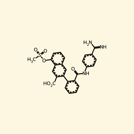 CS(=O)(=O)Oc1cccc2cc(-c3ccccc3C(=O)Nc3ccc(C(=N)N)cc3)c(C(=O)O)cc12